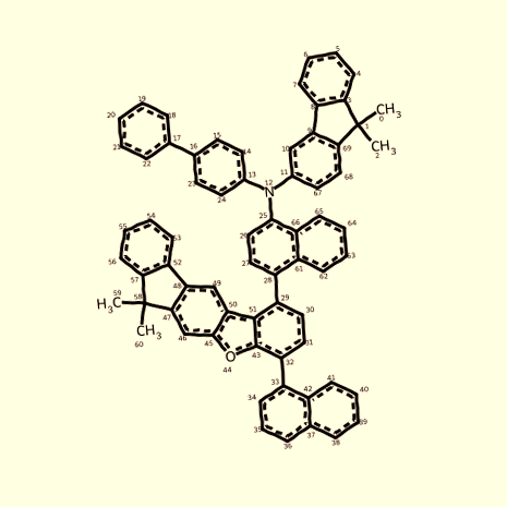 CC1(C)c2ccccc2-c2cc(N(c3ccc(-c4ccccc4)cc3)c3ccc(-c4ccc(-c5cccc6ccccc56)c5oc6cc7c(cc6c45)-c4ccccc4C7(C)C)c4ccccc34)ccc21